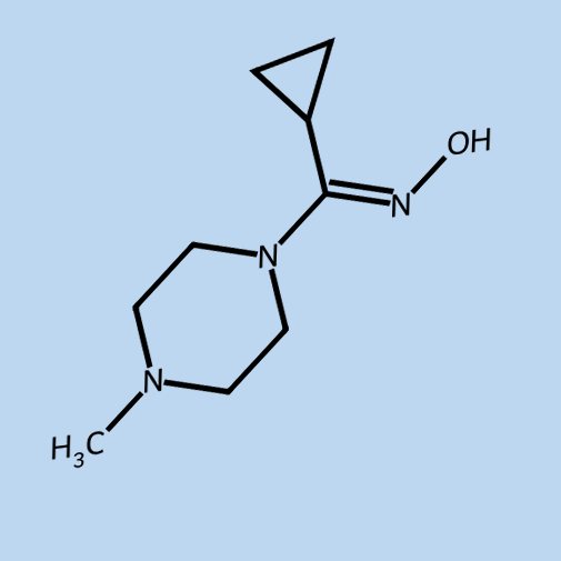 CN1CCN(/C(=N/O)C2CC2)CC1